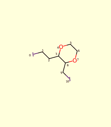 ICCC1OCCOC1CI